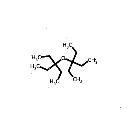 CCC(CC)(CC)OC(CC)(CC)CC